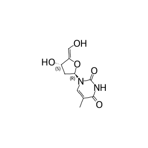 Cc1cn([C@H]2C[C@H](O)C(=CO)O2)c(=O)[nH]c1=O